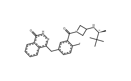 C[C@H](NC1CN(C(=O)c2cc(Cc3n[nH]c(=O)c4ccccc34)ccc2F)C1)C(C)(C)C